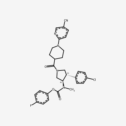 CN(C(=O)Oc1ccc(F)cc1)[C@H]1CN(C(=O)C2CCN(c3ccc(C#N)cn3)CC2)C[C@@H]1c1ccc(Cl)cc1